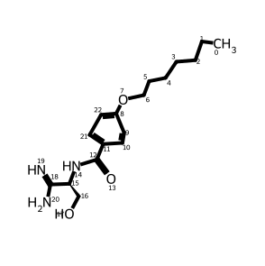 CCCCCCCOc1ccc(C(=O)N[C@@H](CO)C(=N)N)cc1